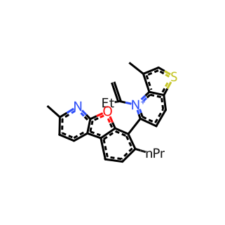 C=C(CC)[n+]1c(-c2c(CCC)ccc3c2oc2nc(C)ccc23)ccc2scc(C)c21